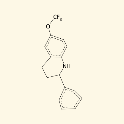 FC(F)(F)Oc1ccc2c(c1)CCC(c1ccccc1)N2